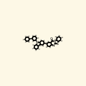 O=c1c2cc(-c3ccc4c(c3)c3ccccc3n4-c3cccc(-c4ccccc4)c3)ccc2nc2sc3ccccc3n12